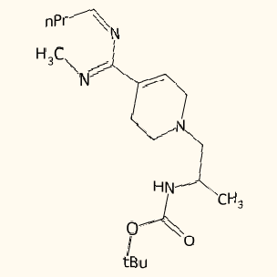 CCC/C=N\C(=N/C)C1=CCN(CC(C)NC(=O)OC(C)(C)C)CC1